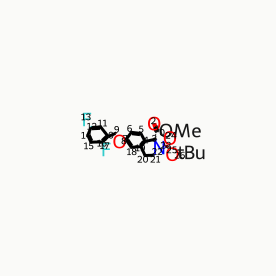 COC(=O)[C@H]1c2ccc(OCc3cc(F)ccc3F)cc2CCN1C(=O)OC(C)(C)C